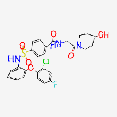 O=C(NCC(=O)N1CCC(O)CC1)c1ccc(S(=O)(=O)Nc2ccccc2Oc2ccc(F)cc2Cl)cc1